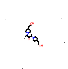 CC(C(=O)C(C)N1CCC(CCO)CC1)N1CCC(CCO)CC1